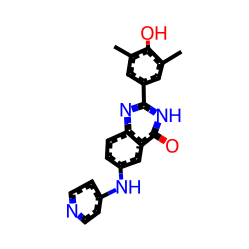 Cc1cc(-c2nc3ccc(Nc4ccncc4)cc3c(=O)[nH]2)cc(C)c1O